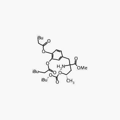 CCC(C)CC(=O)Oc1ccc(CC(N)(C[C@H](C)OC(=O)O[C@@H](C)CC)C(=O)OC)cc1OC(=O)CC(C)CC